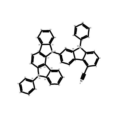 N#Cc1cccc2c1c1ccc(-n3c4ccccc4c4ccc5c(c6ccccc6n5-c5ccccc5)c43)cc1n2-c1ccccc1